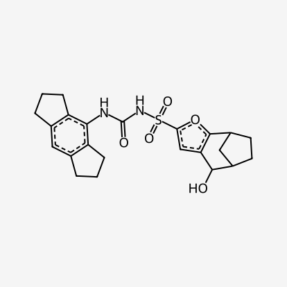 O=C(Nc1c2c(cc3c1CCC3)CCC2)NS(=O)(=O)c1cc2c(o1)C1CCC(C1)C2O